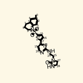 Cc1ccc2c(c1)CCCN2S(=O)(=O)c1ccc(-c2ccnc(NCCN3CCNC3=O)n2)s1